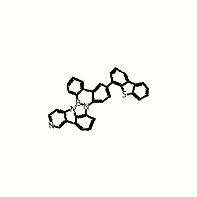 c1ccc2c(c1)B1N(c3ccc(-c4cccc5c4sc4ccccc45)cc3-2)c2cccc3c4cnccc4n1c23